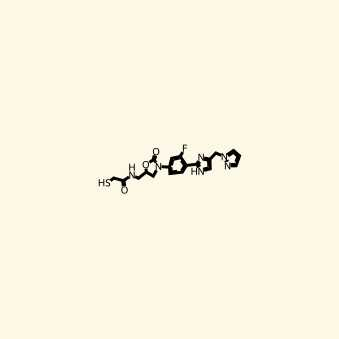 O=C(CS)NCC1CN(c2ccc(-c3nc(Cn4cccn4)c[nH]3)c(F)c2)C(=O)O1